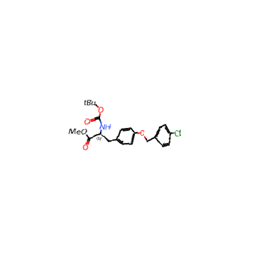 COC(=O)[C@H](Cc1ccc(OCc2ccc(Cl)cc2)cc1)NC(=O)OC(C)(C)C